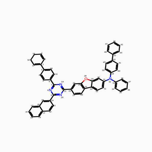 C1=CC(c2ccc(-c3nc(-c4ccc5ccccc5c4)nc(-c4ccc5c(c4)oc4cc(N(c6ccccc6)c6ccc(-c7ccccc7)cc6)ccc45)n3)cc2)=CCC1